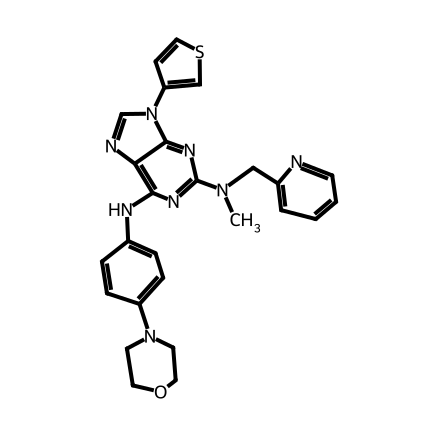 CN(Cc1ccccn1)c1nc(Nc2ccc(N3CCOCC3)cc2)c2ncn(-c3ccsc3)c2n1